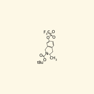 CC1Cc2ccc(OS(=O)(=O)C(F)(F)F)cc2CN1C(=O)OC(C)(C)C